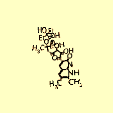 CCC(C)(C[C@H]1O[C@@H](c2cc3cc(C)c(C)[nH]c-3nc2=O)[C@@H](O)C1O)OP(=O)(O)C(O)(CC)CC